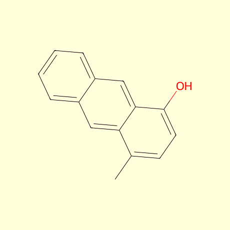 Cc1ccc(O)c2cc3ccccc3cc12